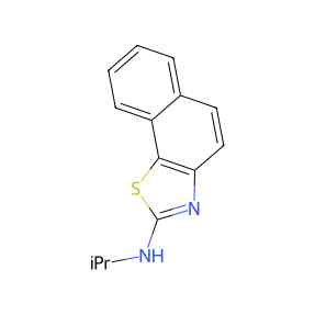 CC(C)Nc1nc2ccc3ccccc3c2s1